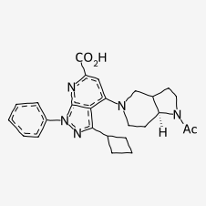 CC(=O)N1CCC2CN(c3cc(C(=O)O)nc4c3c(C3CCC3)nn4-c3ccccc3)CC[C@@H]21